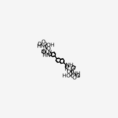 COC(=O)N[C@H](C(=O)N1CCC[C@H]1c1ncc(-c2ccc3cc(-c4ccc5nc([C@@H]6CCCN6C(=O)[C@@H](NC(=O)OC)[C@@H](C)O)[nH]c5c4)ccc3c2)[nH]1)[C@@H](C)O